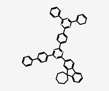 C1=CCCC(c2nc(-c3ccccc3)nc(-c3ccc(-c4nc(-c5ccc(-c6ccccc6)cc5)nc(-c5ccc6c(c5)C5(CCCCCC5)c5ccccc5-6)n4)cc3)n2)=C1